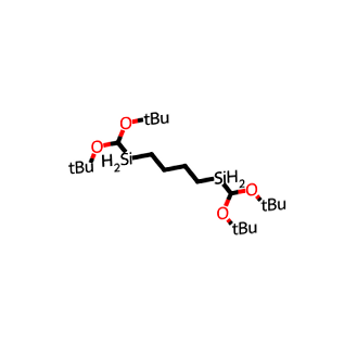 CC(C)(C)OC(OC(C)(C)C)[SiH2]CCCC[SiH2]C(OC(C)(C)C)OC(C)(C)C